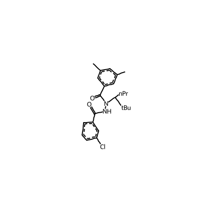 CCCC(N(NC(=O)c1cccc(Cl)c1)C(=O)c1cc(C)cc(C)c1)C(C)(C)C